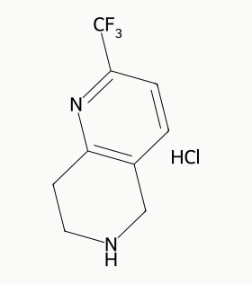 Cl.FC(F)(F)c1ccc2c(n1)CCNC2